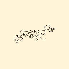 Cc1cc(-c2ncnc3[nH]ncc23)ccc1C(C)NC(=O)c1cnc(C(C)(C)CC2CCCC(n3ncc4c(Cl)ncnc43)O2)s1